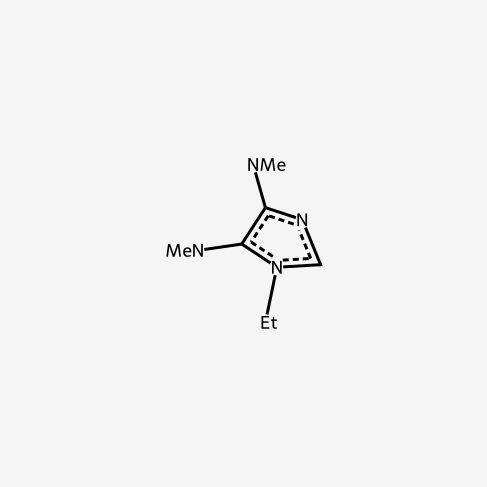 CCn1cnc(NC)c1NC